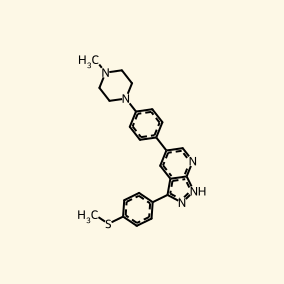 CSc1ccc(-c2n[nH]c3ncc(-c4ccc(N5CCN(C)CC5)cc4)cc23)cc1